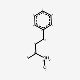 CC(CCc1ccccc1)[SiH2]Cl